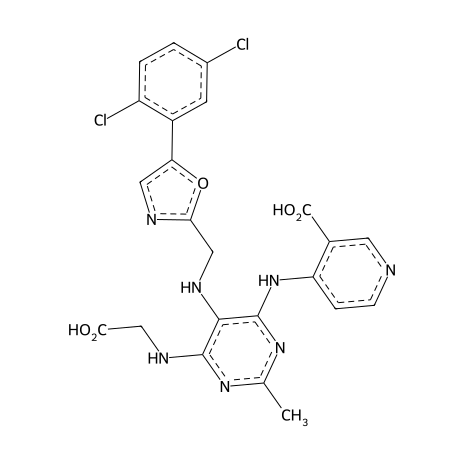 Cc1nc(NCC(=O)O)c(NCc2ncc(-c3cc(Cl)ccc3Cl)o2)c(Nc2ccncc2C(=O)O)n1